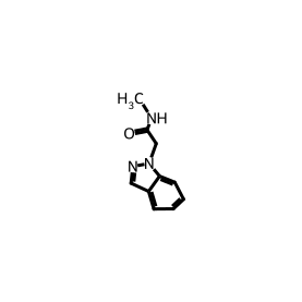 CNC(=O)Cn1ncc2ccccc21